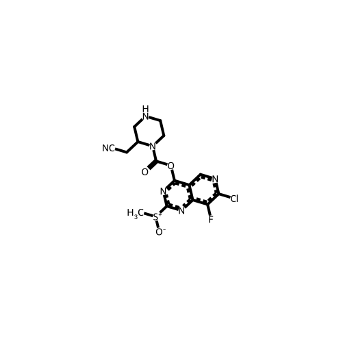 C[S+]([O-])c1nc(OC(=O)N2CCNCC2CC#N)c2cnc(Cl)c(F)c2n1